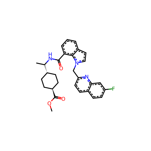 COC(=O)[C@H]1CC[C@H](C(C)NC(=O)c2cccc3ccn(Cc4ccc5ccc(F)cc5n4)c23)CC1